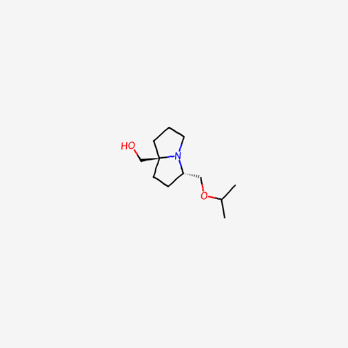 CC(C)OC[C@@H]1CC[C@]2(CO)CCCN12